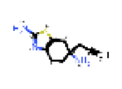 C#CCC1(N)CCc2nc(N)sc2C1